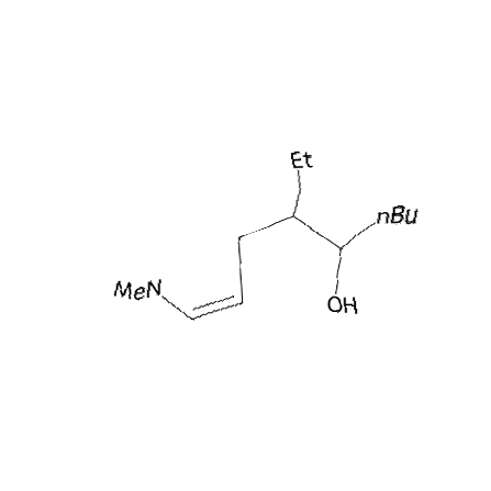 CCCCC(O)C(CC)C/C=C\NC